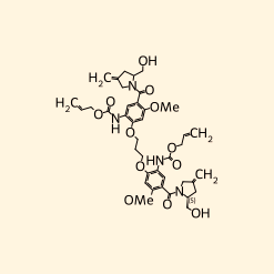 C=CCOC(=O)Nc1cc(C(=O)N2CC(=C)CC2CO)c(OC)cc1OCCCOc1cc(OC)c(C(=O)N2CC(=C)C[C@H]2CO)cc1NC(=O)OCC=C